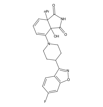 CCCC12C=CC=C(N3CCC(c4noc5cc(F)ccc45)CC3)C1(O)C(=O)NC2=O